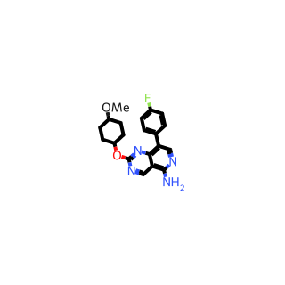 COC1CCC(Oc2ncc3c(N)ncc(-c4ccc(F)cc4)c3n2)CC1